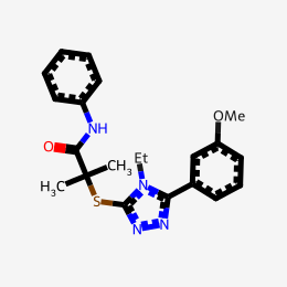 CCn1c(SC(C)(C)C(=O)Nc2ccccc2)nnc1-c1cccc(OC)c1